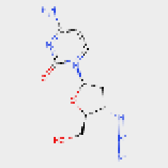 [N-]=[N+]=N[C@H]1C[C@H](n2ccc(N)nc2=O)O[C@@H]1CO